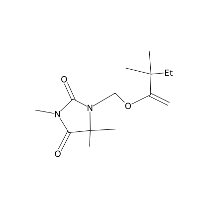 C=C(OCN1C(=O)N(C)C(=O)C1(C)C)C(C)(C)CC